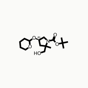 CC(C)(C)OC(=O)N1C[C@H](OC2CCCCO2)CC1(C)CO